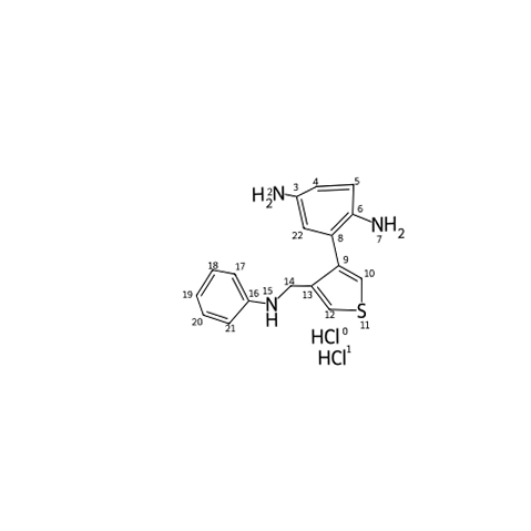 Cl.Cl.Nc1ccc(N)c(-c2cscc2CNc2ccccc2)c1